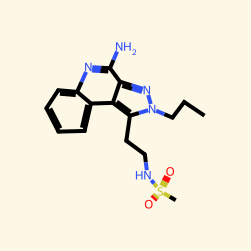 CCCn1nc2c(N)nc3ccccc3c2c1CCNS(C)(=O)=O